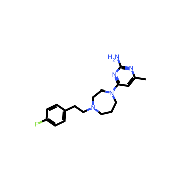 Cc1cc(N2CCCN(CCc3ccc(F)cc3)CC2)nc(N)n1